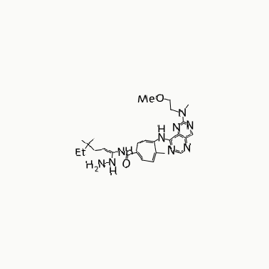 CCC(C)(C)C/C=C(\NN)NC(=O)C1=CC=C(C)C(Nc2ncnc3cnc(N(C)CCOC)nc23)=CC1